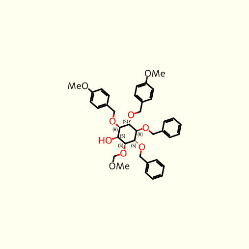 COCO[C@H]1[C@@H](O)[C@@H](OCc2ccc(OC)cc2)[C@H](OCc2ccc(OC)cc2)[C@@H](OCc2ccccc2)[C@@H]1OCc1ccccc1